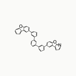 c1cc(-c2cccc(-c3ccc4oc5ccccc5c4c3)c2)cc(-c2cccc(-c3ccc4oc5ncccc5c4c3)c2)c1